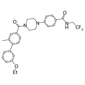 CCOc1cccc(-c2ccc(C(=O)N3CCN(c4ccc(C(=O)NCC(F)(F)F)cc4)CC3)cc2C)c1